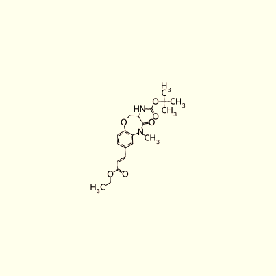 CCOC(=O)/C=C/c1ccc2c(c1)N(C)C(=O)[C@@H](NC(=O)OC(C)(C)C)CO2